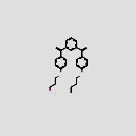 C=C(c1ccc(SCCCC)cc1)c1cccc(C(=C)c2ccc(SCCCP)cc2)c1